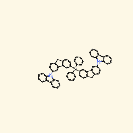 c1ccc([Si](c2ccccc2)(c2ccc3c(c2)-c2cc(-n4c5ccccc5c5ccccc54)ccc2C3)c2ccc3c(c2)-c2cc(-n4c5ccccc5c5ccccc54)ccc2C3)cc1